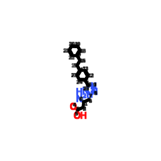 NC(CC(=O)O)Cn1nnc(-c2ccc(CCc3ccccc3)cc2)n1